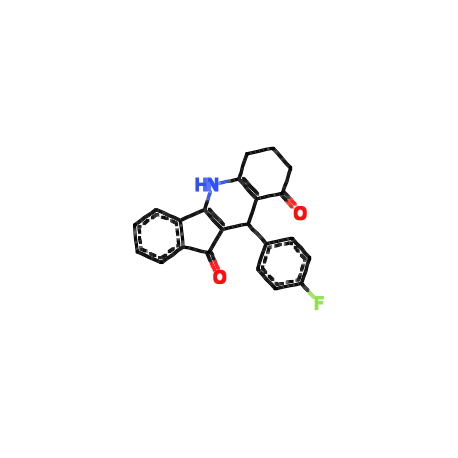 O=C1CCCC2=C1C(c1ccc(F)cc1)C1=C(N2)c2ccccc2C1=O